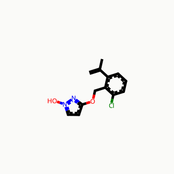 C=C(C)c1cccc(Cl)c1COc1ccn(O)n1